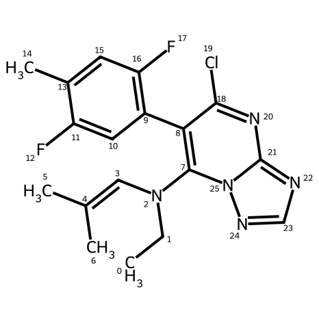 CCN(C=C(C)C)c1c(-c2cc(F)c(C)cc2F)c(Cl)nc2ncnn12